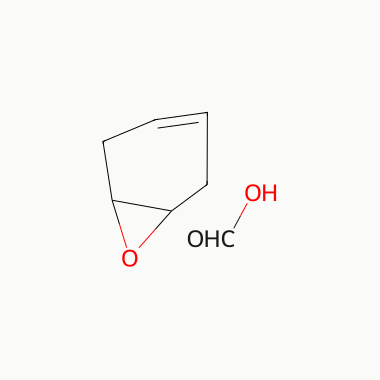 C1=CCC2OC2C1.O=CO